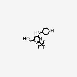 OCc1cc(NC2CCNCC2)nc(C(F)(F)F)n1